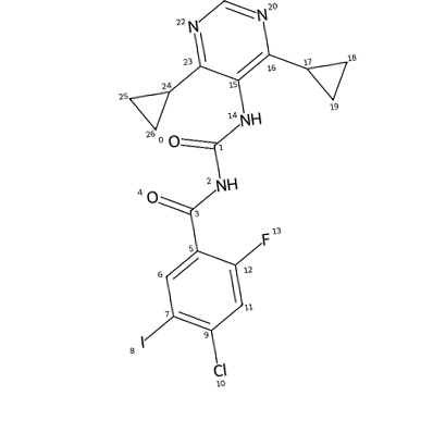 O=C(NC(=O)c1cc(I)c(Cl)cc1F)Nc1c(C2CC2)ncnc1C1CC1